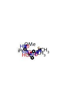 COC(=O)Nc1cc(CNC[C@@H](O)[C@H](Cc2ccccc2)NC(=O)c2cccc(C(=O)N(C)Cc3nc(C)cs3)c2)cc(C(C)C)c1